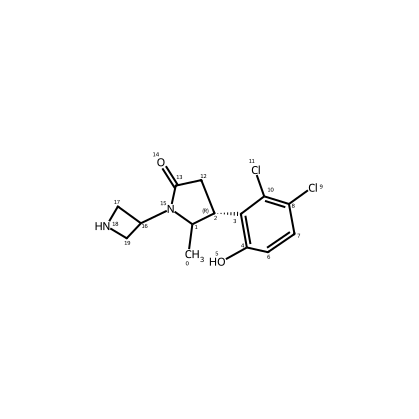 CC1[C@@H](c2c(O)ccc(Cl)c2Cl)CC(=O)N1C1CNC1